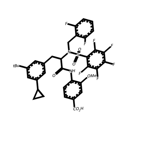 COc1cc(C(=O)O)ccc1NC(=O)C(Cc1cc(C2CC2)cc(C(C)(C)C)c1)N(Cc1c(F)cccc1F)S(=O)(=O)c1c(F)c(F)c(F)c(F)c1F